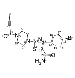 CC#CC(=O)N1CCN(c2nc(-c3ccc(Br)cc3)c(C(N)=O)s2)CC1